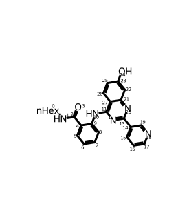 CCCCCCNC(=O)c1ccccc1Nc1nc(-c2cccnc2)nc2cc(O)ccc12